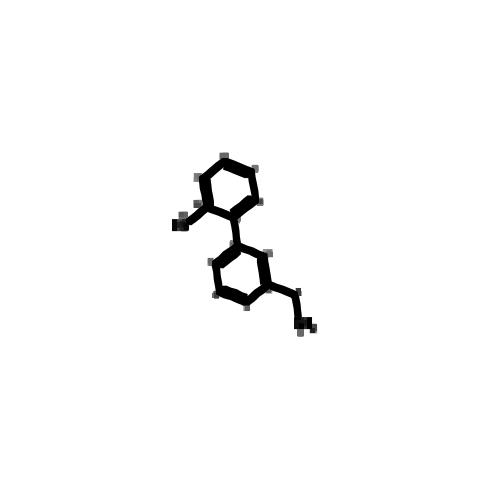 NCc1cccc(-c2ccccc2S)c1